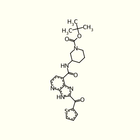 CC(C)(C)OC(=O)N1CCCC(NC(=O)c2ccnc3[nH]c(C(=O)c4cccs4)nc23)C1